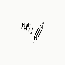 N#N.O.[NaH]